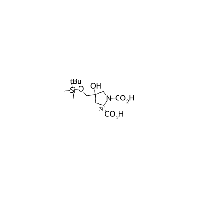 CC(C)(C)[Si](C)(C)OCC1(O)C[C@@H](C(=O)O)N(C(=O)O)C1